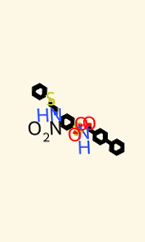 O=C(NS(=O)(=O)c1ccc(NCCSc2ccccc2)c([N+](=O)[O-])c1)c1ccc(-c2ccccc2)cc1